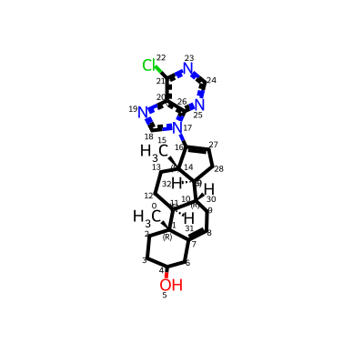 C[C@]12CCC(O)CC1=CC[C@@H]1[C@@H]2CC[C@]2(C)C(n3cnc4c(Cl)ncnc43)=CC[C@@H]12